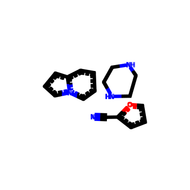 C1CNCCN1.N#Cc1ccco1.c1ccn2cccc2c1